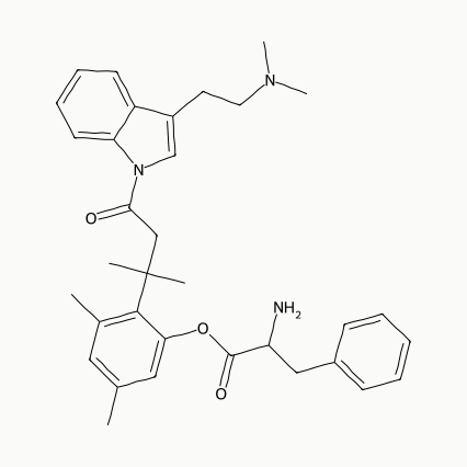 Cc1cc(C)c(C(C)(C)CC(=O)n2cc(CCN(C)C)c3ccccc32)c(OC(=O)C(N)Cc2ccccc2)c1